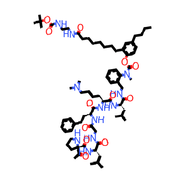 CCCCc1ccc(OC(=O)N(C)c2ccccc2CNC(=O)[C@H](CC(C)C)NC(=O)[C@H](CCCCN(C)C)NC(=O)[C@H](CCc2ccccc2)NC(=O)CNC(=O)[C@H](CC(C)C)NC(=O)[C@@]2(C(C)=O)CCCN2)c(CCCCCCCC(=O)NCCNC(=O)OC(C)(C)C)c1